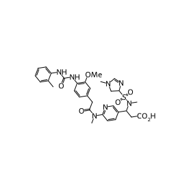 COc1cc(CC(=O)N(C)c2ccc(C(CC(=O)O)N(C)S(=O)(=O)C3CN(C)C=N3)cn2)ccc1NC(=O)Nc1ccccc1C